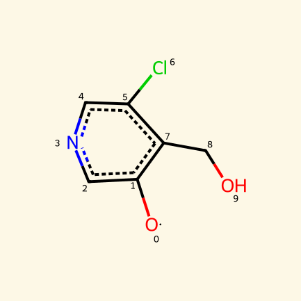 [O]c1cncc(Cl)c1CO